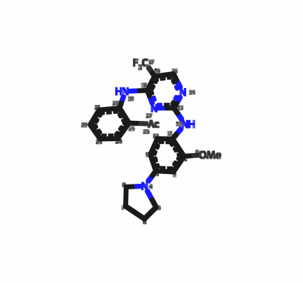 COc1cc(N2CCCC2)ccc1Nc1ncc(C(F)(F)F)c(Nc2ccccc2C(C)=O)n1